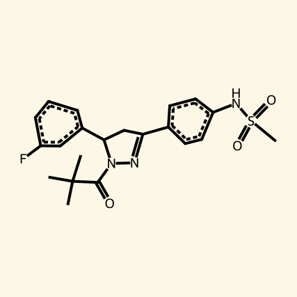 CC(C)(C)C(=O)N1N=C(c2ccc(NS(C)(=O)=O)cc2)CC1c1cccc(F)c1